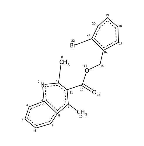 Cc1nc2ccccc2c(C)c1C(=O)OCc1ccccc1Br